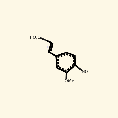 COc1cc(/C=C/C(=O)O)ccc1N=O